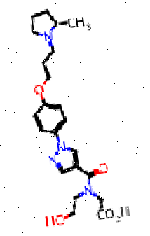 C[C@@H]1CCCN1CCCOc1ccc(-n2cc(C(=O)N(CCO)CC(=O)O)cn2)cc1